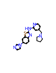 c1cn(-c2ccc3nc(Nc4cc(CN5CCCC5)ccn4)sc3c2)cn1